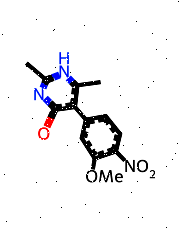 COc1cc(-c2c(C)[nH]c(C)nc2=O)ccc1[N+](=O)[O-]